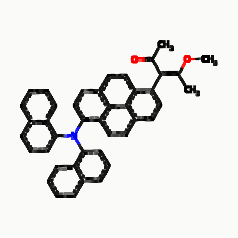 CO/C(C)=C(\C(C)=O)c1ccc2ccc3c(N(c4cccc5ccccc45)c4cccc5ccccc45)ccc4ccc1c2c43